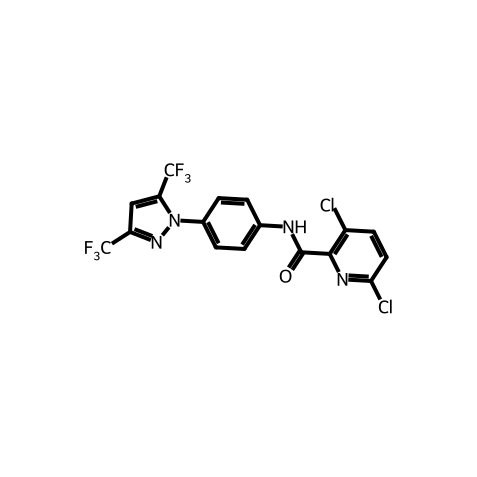 O=C(Nc1ccc(-n2nc(C(F)(F)F)cc2C(F)(F)F)cc1)c1nc(Cl)ccc1Cl